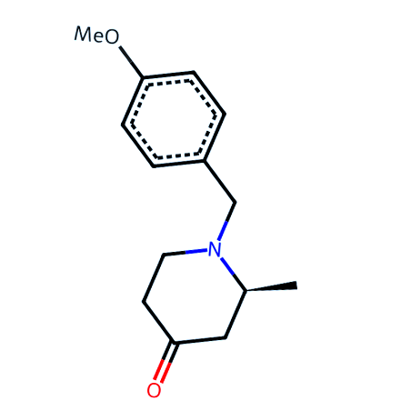 COc1ccc(CN2CCC(=O)C[C@@H]2C)cc1